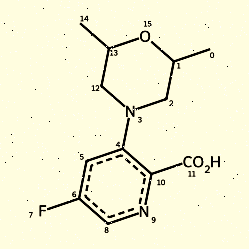 CC1CN(c2cc(F)cnc2C(=O)O)CC(C)O1